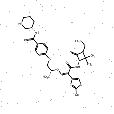 CC1(C)[C@H](NC(=O)/C(=N\O[C@@H](COc2ccc(C(=N)N[C@H]3CCCNC3)cc2)C(=O)O)c2csc(N)n2)C(=O)N1OS(=O)(=O)O